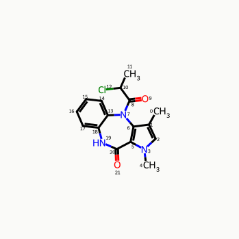 Cc1cn(C)c2c1N(C(=O)C(C)Cl)c1ccccc1NC2=O